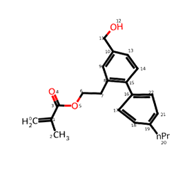 C=C(C)C(=O)OCCc1cc(CO)ccc1-c1ccc(CCC)cc1